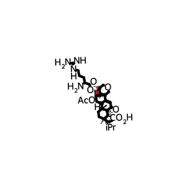 CC(=O)O[C@@H]1C[C@]23COC[C@@](C)([C@@H]2CC[C@H]2C3=CC(=O)[C@@]3(C)[C@H](C(=O)O)[C@@](C)([C@H](C)C(C)C)CC[C@]23C)[C@H]1OC(=O)C(N)CCCNC(=N)N